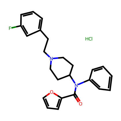 Cl.O=C(c1ccco1)N(c1ccccc1)C1CCN(CCc2cccc(F)c2)CC1